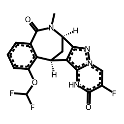 CN1C(=O)c2cccc(OC(F)F)c2[C@H]2C[C@@H]1c1nn3cc(F)c(=O)[nH]c3c12